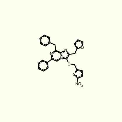 O=[N+]([O-])c1ccc(COc2c(Cc3ccco3)nc3c(Cc4ccccc4)nc(-c4ccccc4)cn23)s1